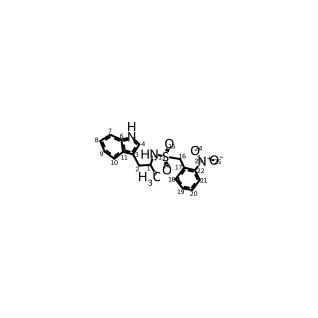 CC(Cc1c[nH]c2ccccc12)NS(=O)(=O)Cc1ccccc1[N+](=O)[O-]